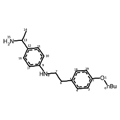 CCCCOc1ccc(CCNc2ccc(C(C)N)cc2)cc1